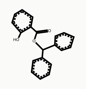 O=C(OC(c1ccccc1)c1ccccc1)c1ccccc1O